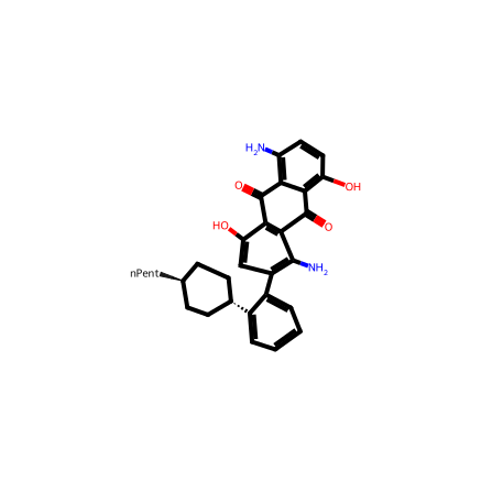 CCCCC[C@H]1CC[C@H](c2ccccc2-c2cc(O)c3c(c2N)C(=O)c2c(O)ccc(N)c2C3=O)CC1